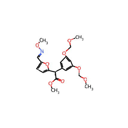 COCOc1cc(OCOC)cc(C(C(=O)OC)c2ccc(C=NOC)o2)c1